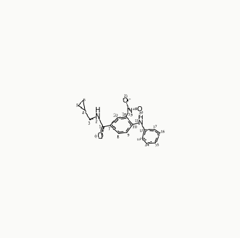 O=C(NCC1CC1)c1ccc(Nc2ccccc2)c([N+](=O)[O-])c1